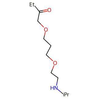 CCC(=O)COCCCOCCNC(C)C